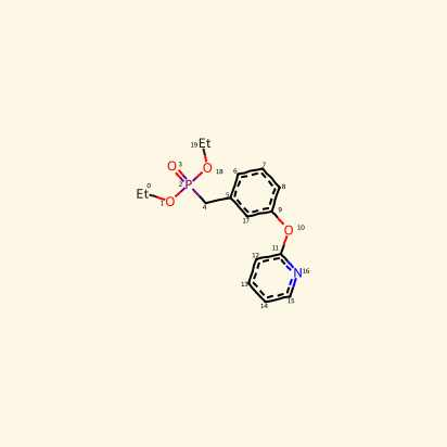 CCOP(=O)(Cc1cccc(Oc2ccccn2)c1)OCC